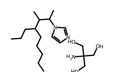 CCCCCC(CCC)C(C)C(C)n1ccnc1.NC(CO)(CO)CO